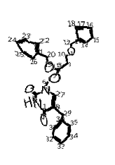 O=c1[nH]c(=O)n(COC(CCOCc2ccccc2)OCc2ccccc2)cc1Cc1ccccc1